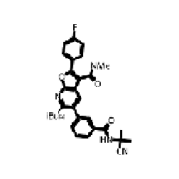 CC[C@H](C)c1nc2oc(-c3ccc(F)cc3)c(C(=O)NC)c2cc1-c1cccc(C(=O)NC(C)(C)C#N)c1